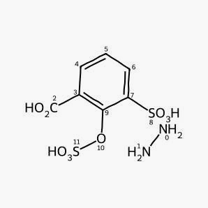 NN.O=C(O)c1cccc(S(=O)(=O)O)c1OS(=O)(=O)O